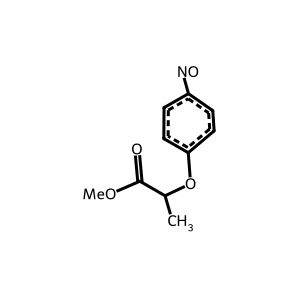 COC(=O)C(C)Oc1ccc(N=O)cc1